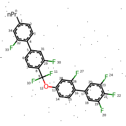 CCCc1ccc(-c2ccc(C(F)(F)Oc3ccc(-c4cc(F)c(F)c(F)c4)c(F)c3)c(F)c2)c(F)c1